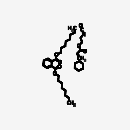 C1CCCCC1.C=CC(=O)OCCN=C=O.CCCCCCCCOC(=O)c1ccccc1C(=O)OCCCCCCCC